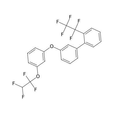 FC(F)C(F)(F)Oc1cccc(Oc2cccc(-c3ccccc3C(F)(F)C(F)(F)F)c2)c1